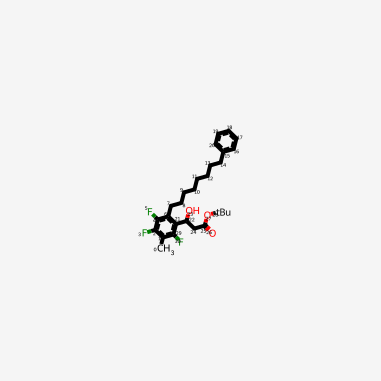 Cc1c(F)c(F)c(CCCCCCCCc2ccccc2)c(C(O)CC(=O)OC(C)(C)C)c1F